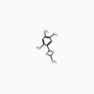 Bc1cc(C2OC(C)O2)c(B)cc1C